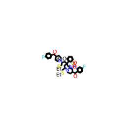 CCSCC(CC1(CC(CSCC)N2CCC(C(=O)c3ccc(F)cc3)CC2)CNS(=O)(=O)c2cccc(OC)c21)N1CCC(C(=O)c2ccc(F)cc2)CC1